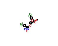 CCOC(=O)C(C)(Cc1cccc(OCCC2(Cc3ccc(C(F)(F)F)cc3)CNC(=O)N2C)c1)Oc1ccc(C(F)(F)F)cc1